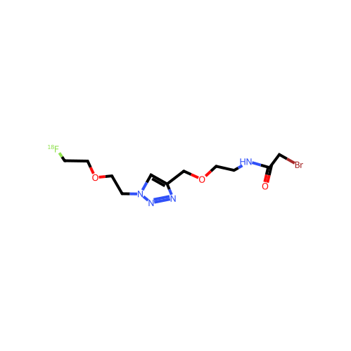 O=C(CBr)NCCOCc1cn(CCOCC[18F])nn1